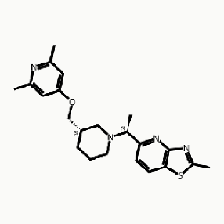 Cc1cc(OC[C@H]2CCCN([C@@H](C)c3ccc4sc(C)nc4n3)C2)cc(C)n1